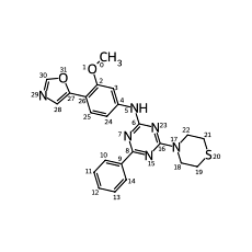 COc1cc(Nc2nc(-c3ccccc3)nc(N3CCSCC3)n2)ccc1-c1cnco1